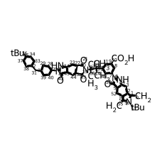 C=c1c2cc3[nH]n(-c4cc(C(=O)O)cc(C(C)(C)C(C)(C)N5C(=O)c6cc7[nH]n(-c8ccc(Cc9ccc(C(C)(C)C)cc9)cc8)c(=O)c7cc6C5=O)c4)c(=O)c3cc2c(=C)n1C(C)(C)C